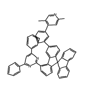 Cc1cc(-c2cccc(-c3ccc4c(c3)-c3c(-c5nc(-c6ccccc6)cc(-c6ccccc6)n5)cccc3C43c4ccccc4-c4ccccc43)c2)c(C)cn1